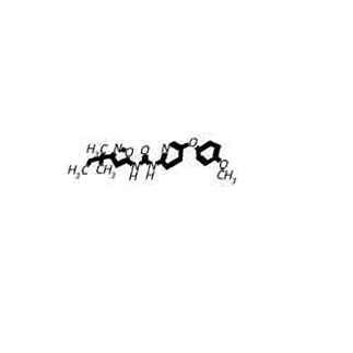 CCC(C)(C)c1cc(NC(=O)Nc2ccc(Oc3ccc(OC)cc3)cn2)on1